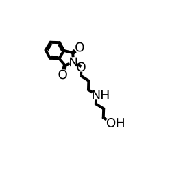 O=C1c2ccccc2C(=O)N1OCCCNCCCO